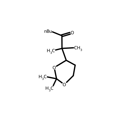 CCCCC(=O)C(C)(C)C1CCOC(C)(C)O1